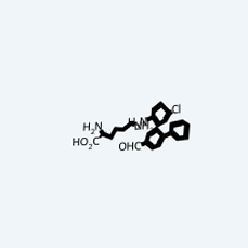 NCCCC[C@H](N)C(=O)O.Nc1ccc(Cl)cc1.O=Cc1ccc(-c2ccccc2)cc1